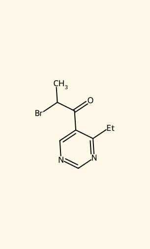 CCc1ncncc1C(=O)C(C)Br